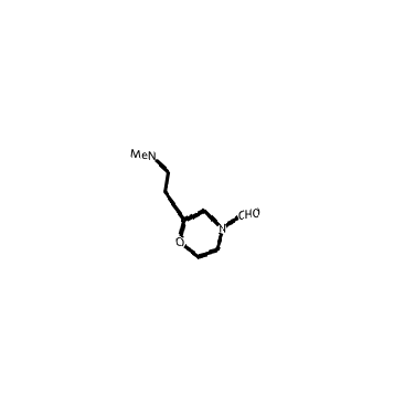 CNCCC1CN(C=O)CCO1